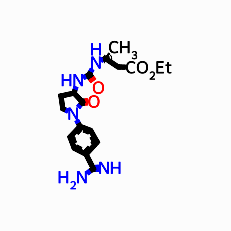 CCOC(=O)C[C@@H](C)NC(=O)NC1CCN(c2ccc(C(=N)N)cc2)C1=O